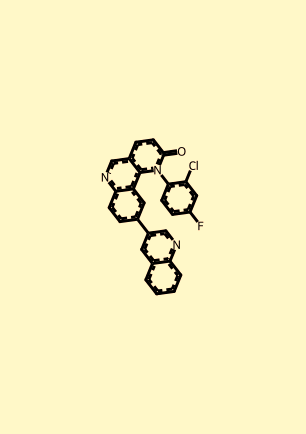 O=c1ccc2cnc3ccc(-c4cnc5ccccc5c4)cc3c2n1-c1ccc(F)cc1Cl